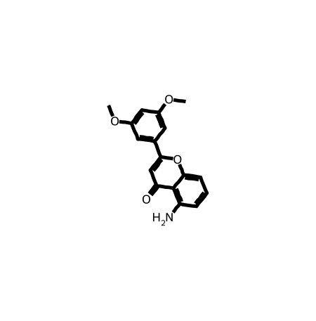 COc1cc(OC)cc(-c2cc(=O)c3c(N)cccc3o2)c1